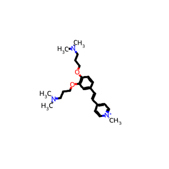 CN(C)CCCOc1ccc(/C=C/c2cc[n+](C)cc2)cc1OCCCN(C)C